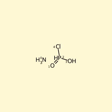 N.O=[PH](O)Cl